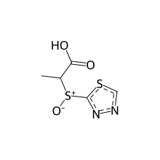 CC(C(=O)O)[S+]([O-])c1nncs1